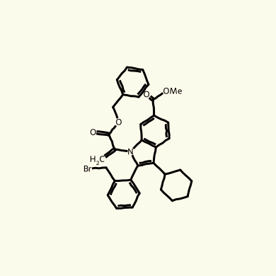 C=C(C(=O)OCc1ccccc1)n1c(-c2ccccc2CBr)c(C2CCCCC2)c2ccc(C(=O)OC)cc21